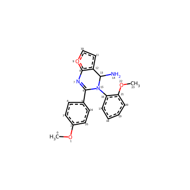 COc1ccc(C2=Nc3occc3C(N)N2c2ccccc2OC)cc1